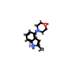 CCc1cc2c(N3CCOCC3)c[c]cc2[nH]1